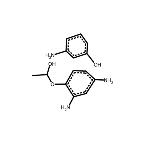 CC(O)Oc1ccc(N)cc1N.Nc1cccc(O)c1